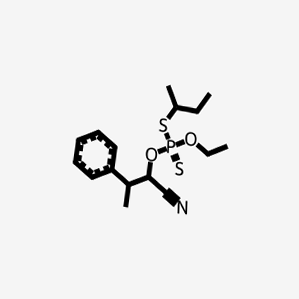 CCOP(=S)(OC(C#N)C(C)c1ccccc1)SC(C)CC